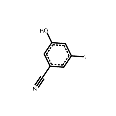 N#Cc1cc(O)cc(I)c1